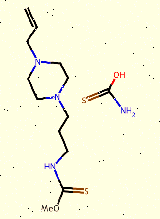 C=CCN1CCN(CCCNC(=S)OC)CC1.NC(O)=S